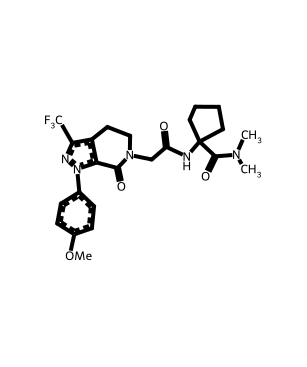 COc1ccc(-n2nc(C(F)(F)F)c3c2C(=O)N(CC(=O)NC2(C(=O)N(C)C)CCCC2)CC3)cc1